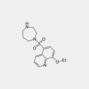 CCOc1ccc(S(=O)(=O)N2CCCNCC2)c2cccnc12